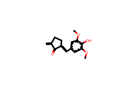 C=C1CC/C(=C\c2cc(OC)c(O)c(OC)c2)C1=O